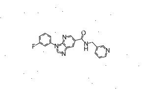 O=C(NCc1cccnc1)c1cnc2c(c1)ncn2-c1cccc(F)c1